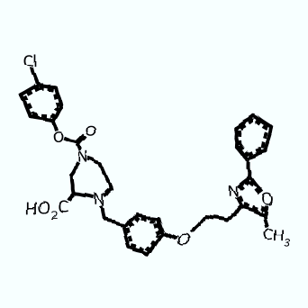 Cc1oc(-c2ccccc2)nc1CCOc1ccc(CN2CCN(C(=O)Oc3ccc(Cl)cc3)CC2C(=O)O)cc1